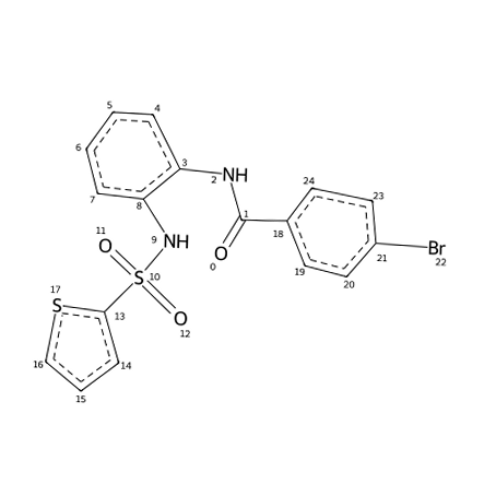 O=C(Nc1ccccc1NS(=O)(=O)c1cccs1)c1ccc(Br)cc1